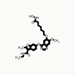 CCNC(=O)c1c(C)oc2cc(Oc3ncnc4cc(OC)c(OCCCCCCC(=O)NO)cc34)ccc12